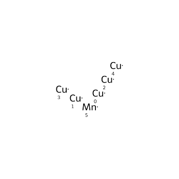 [Cu].[Cu].[Cu].[Cu].[Cu].[Mn]